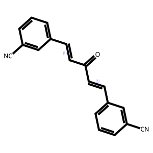 N#Cc1cccc(/C=C/C(=O)/C=C/c2cccc(C#N)c2)c1